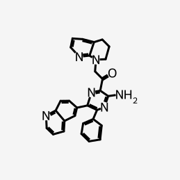 Nc1nc(-c2ccccc2)c(-c2ccc3ncccc3c2)nc1C(=O)CN1CCCc2cccnc21